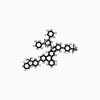 CC1(C)c2ccccc2-c2ccc(-c3ccc4c(c3)c3ccccc3c3cc5c6cc(-c7ccc(C(F)(F)F)cc7)ccc6n(-c6cc(-c7ccccc7)nc(-c7ccccc7)n6)c5cc43)cc21